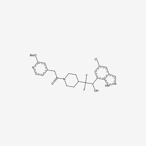 COc1cc(CC(=O)N2CCC(C(F)(F)C(O)c3cc(Cl)cc4cn[nH]c34)CC2)ccn1